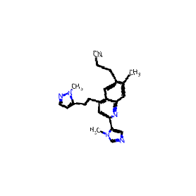 Cc1cc2nc(-c3cncn3C)cc(CCc3ccnn3C)c2cc1CCC#N